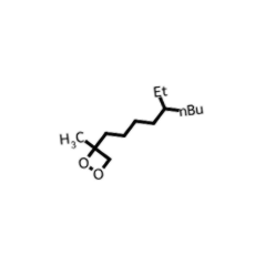 CCCCC(CC)CCCCC1(C)COO1